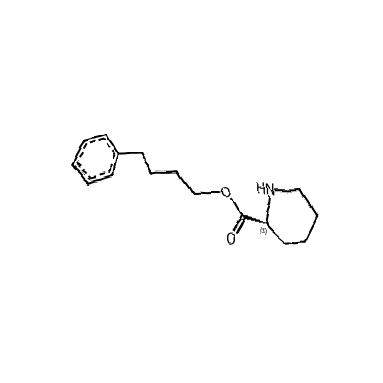 O=C(OCCCCc1ccccc1)[C@@H]1CCCCN1